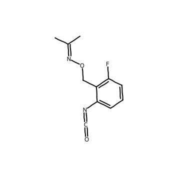 CC(C)=NOCc1c(F)cccc1N=C=O